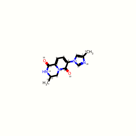 Cc1cn(-c2ccc3n(c2=O)CC(C)NC3=O)cn1